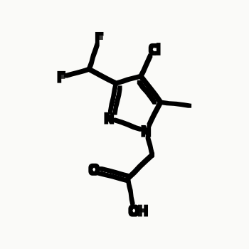 Cc1c(Cl)c(C(F)F)nn1CC(=O)O